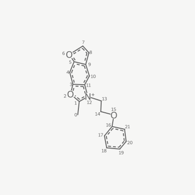 Cc1oc2cc3occc3cc2[n+]1CCOc1ccccc1